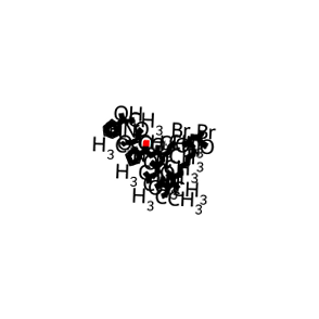 CCC(C)C(C(CC(=O)N1CCC[C@H]1C(OC)C(C)C(=O)NC(C)C(O)c1ccccc1)OC)N(C)C(=O)C(NC(=O)C(C(C)C)N(C)C(=O)CCCCCN1C(=O)C(Br)=C(Br)C1=O)C(C)C